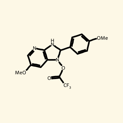 COc1ccc(C2Nc3ncc(OC)cc3N2OC(=O)C(F)(F)F)cc1